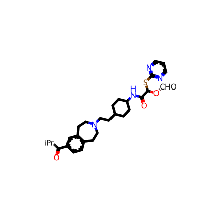 CC(C)C(=O)c1ccc2c(c1)CCN(CCC1CCC(NC(=O)C(OC=O)Sc3ncccn3)CC1)CC2